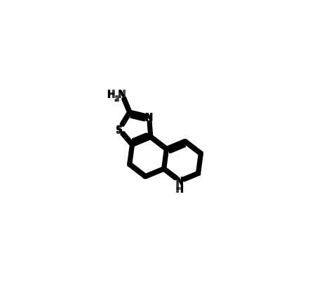 Nc1nc2c(s1)CCC1NCCC=C21